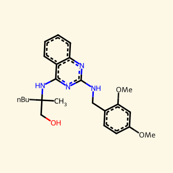 CCCCC(C)(CO)Nc1nc(NCc2ccc(OC)cc2OC)nc2ccccc12